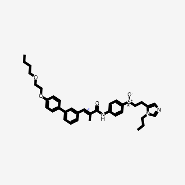 CCCCOCCOc1ccc(-c2cccc(/C=C(\C)C(=O)Nc3ccc([S@@+]([O-])CCc4cncn4CCC)cc3)c2)cc1